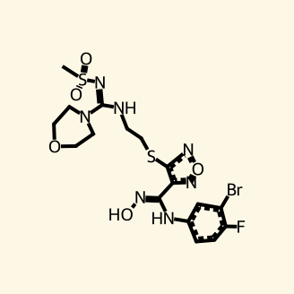 CS(=O)(=O)/N=C(/NCCSc1nonc1/C(=N/O)Nc1ccc(F)c(Br)c1)N1CCOCC1